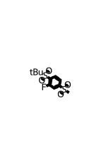 CC(C)(C)S(=O)(=O)c1ccc(S(C)(=O)=O)cc1F